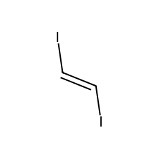 IC=CI